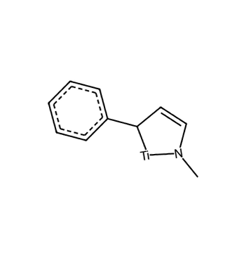 C[N]1C=C[CH](c2ccccc2)[Ti]1